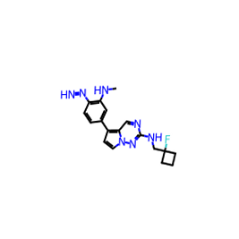 CNc1cc(-c2ccn3nc(NCC4(F)CCC4)ncc23)ccc1N=N